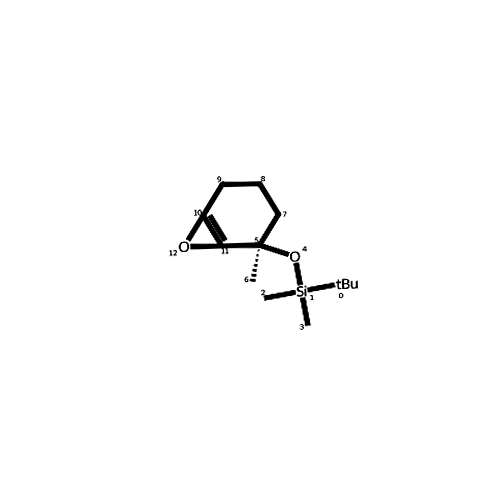 CC(C)(C)[Si](C)(C)O[C@]1(C)CCCC2=C1O2